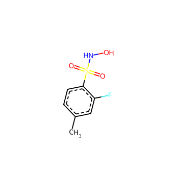 Cc1ccc(S(=O)(=O)NO)c(F)c1